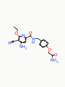 CCOc1nc(C(=O)NCc2ccc(OCC(N)=O)cc2)cc(N)c1C#N